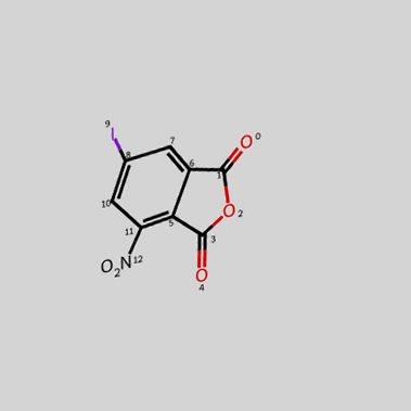 O=C1OC(=O)c2c1cc(I)cc2[N+](=O)[O-]